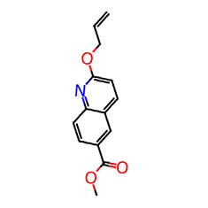 C=CCOc1ccc2cc(C(=O)OC)ccc2n1